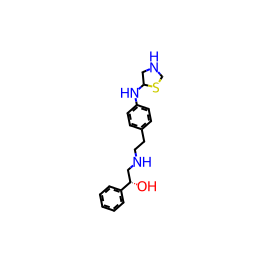 O[C@@H](CNCCc1ccc(NC2CNCS2)cc1)c1ccccc1